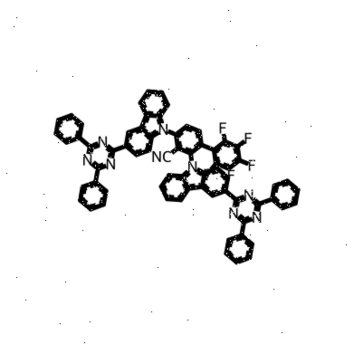 N#Cc1c(-n2c3ccccc3c3cc(-c4nc(-c5ccccc5)nc(-c5ccccc5)n4)ccc32)ccc(-c2c(F)c(F)c(F)c(F)c2F)c1-n1c2ccccc2c2cc(-c3nc(-c4ccccc4)nc(-c4ccccc4)n3)ccc21